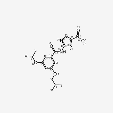 CC(C)COc1cc(OC(C)C)cc(C(=O)Nc2ncc([N+](=O)[O-])s2)c1